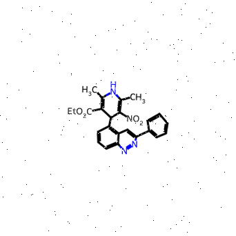 CCOC(=O)C1=C(C)NC(C)=C([N+](=O)[O-])C1c1cccc2nnc(-c3ccccc3)cc12